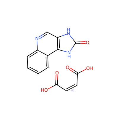 O=C(O)/C=C\C(=O)O.O=c1[nH]c2cnc3ccccc3c2[nH]1